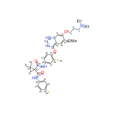 CCN(CC)CCCOC1=CC2NC=NC(Oc3ccc(NC(=O)C4(C(=O)Nc5ccc(F)cc5)CC4(C)C)cc3F)=C2C=C1OC